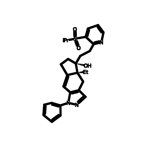 CC[C@]12Cc3cnn(-c4ccccc4)c3C=C1CC[C@@]2(O)CCc1ncccc1S(=O)(=O)C(C)C